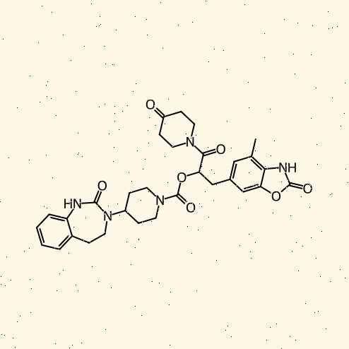 Cc1cc(CC(OC(=O)N2CCC(N3CCc4ccccc4NC3=O)CC2)C(=O)N2CCC(=O)CC2)cc2oc(=O)[nH]c12